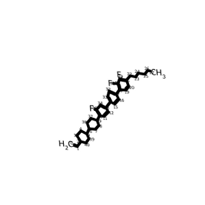 C=CC1CCC(C2CCC(c3ccc(-c4ccc(-c5ccc(CCCCCC)c(F)c5F)cc4)cc3F)CC2)CC1